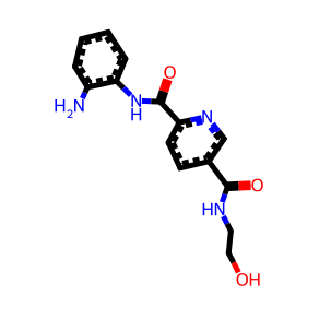 Nc1ccccc1NC(=O)c1ccc(C(=O)NCCO)cn1